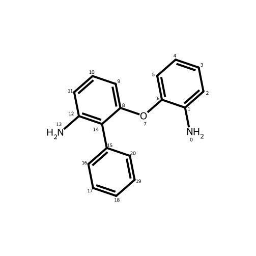 Nc1ccccc1Oc1cccc(N)c1-c1ccccc1